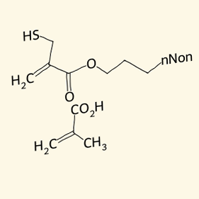 C=C(C)C(=O)O.C=C(CS)C(=O)OCCCCCCCCCCCC